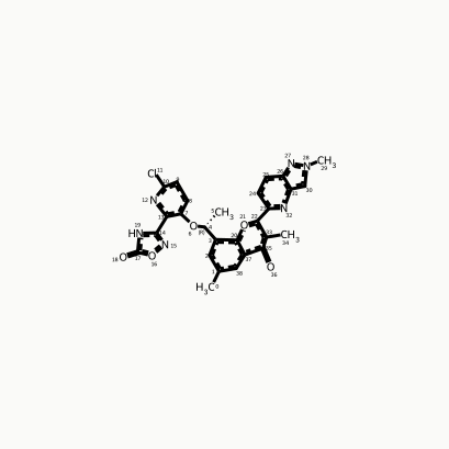 Cc1cc([C@@H](C)Oc2ccc(Cl)nc2-c2noc(=O)[nH]2)c2oc(-c3ccc4nn(C)cc4n3)c(C)c(=O)c2c1